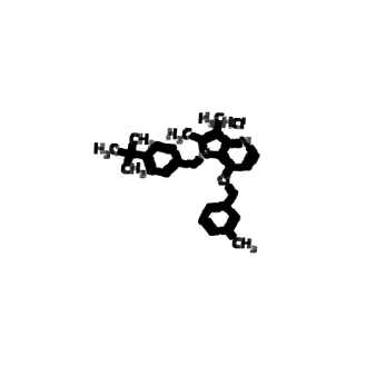 Cc1cccc(COc2ccnc3c(C)c(C)n(Cc4ccc(C(C)(C)C)cc4)c23)c1.Cl